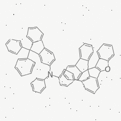 c1ccc(N(c2ccc(-c3cccc4c3C3(c5ccccc5-c5ccccc53)c3c-4oc4ccccc34)cc2)c2ccc3c(c2)C(c2ccccc2)(c2ccccc2)c2ccccc2-3)cc1